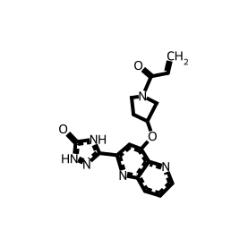 C=CC(=O)N1CCC(Oc2cc(-c3n[nH]c(=O)[nH]3)nc3cccnc23)C1